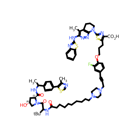 Cc1ncsc1-c1ccc(C(C)NC(=O)[C@@H]2C[C@@H](O)CN2C(=O)C(NC(=O)CCCCCCCCCN2CCN(CC#Cc3ccc(OCCCc4sc(N5CCCc6c5nnc(Nc5nc7ccccc7s5)c6C)nc4C(=O)O)c(F)c3)CC2)C(C)(C)C)cc1